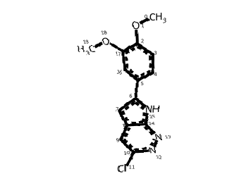 COc1ccc(-c2cc3cc(Cl)nnc3[nH]2)cc1OC